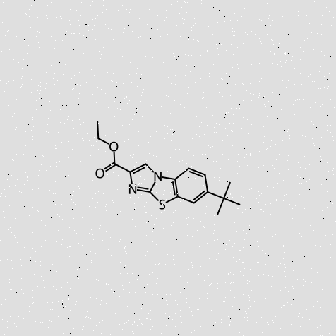 CCOC(=O)c1cn2c(n1)sc1cc(C(C)(C)C)ccc12